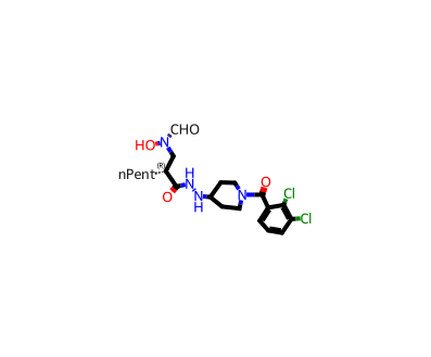 CCCCC[C@H](CN(O)C=O)C(=O)NNC1CCN(C(=O)c2cccc(Cl)c2Cl)CC1